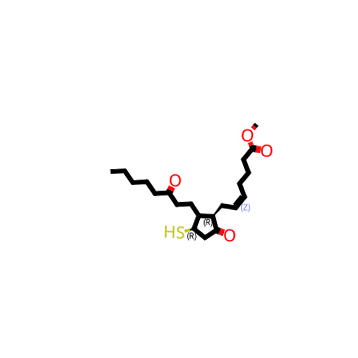 CCCCCC(=O)CCC1[C@H](S)CC(=O)[C@@H]1C/C=C\CCCC(=O)OC